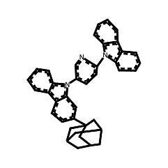 c1ccc2c(c1)c1ccc(C34CC5CC(CC(C5)C3)C4)cc1n2-c1ccc(-n2c3ccccc3c3ccccc32)nc1